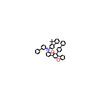 CC1(C)c2ccccc2-c2ccc(N(c3cccc(-c4ccccc4)c3)c3cccc4c3oc3c(-c5ccc(-c6ccccc6)cc5)c5c(cc34)oc3ccccc35)cc21